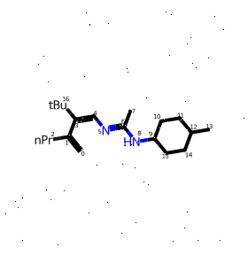 C=C(CCC)/C(=C\N=C(/C)NC1CCC(C)CC1)C(C)(C)C